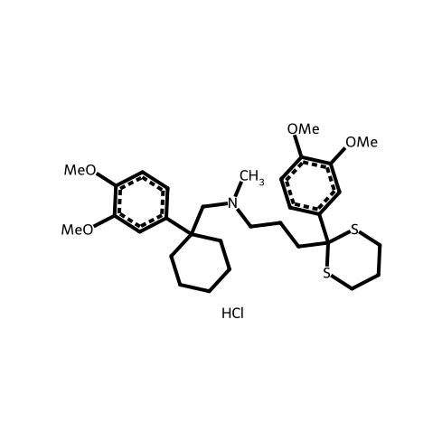 COc1ccc(C2(CN(C)CCCC3(c4ccc(OC)c(OC)c4)SCCCS3)CCCCC2)cc1OC.Cl